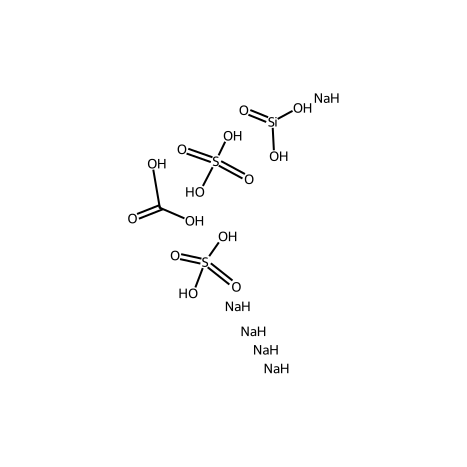 O=C(O)O.O=S(=O)(O)O.O=S(=O)(O)O.O=[Si](O)O.[NaH].[NaH].[NaH].[NaH].[NaH]